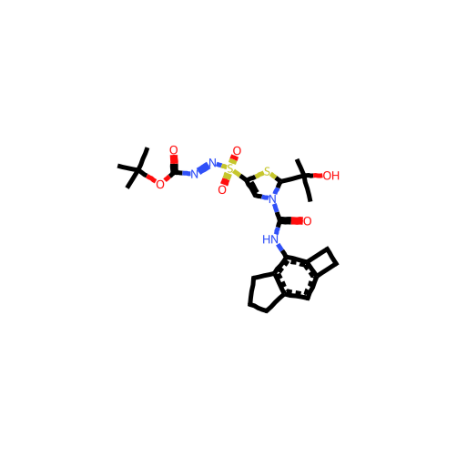 CC(C)(C)OC(=O)N=NS(=O)(=O)C1=CN(C(=O)Nc2c3c(cc4c2CC4)CCC3)C(C(C)(C)O)S1